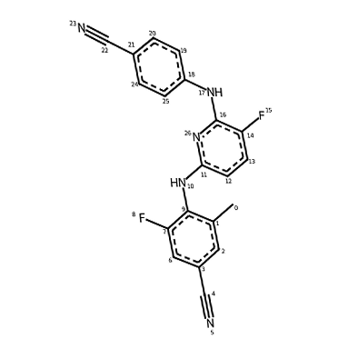 Cc1cc(C#N)cc(F)c1Nc1ccc(F)c(Nc2ccc(C#N)cc2)n1